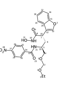 CCOCOC[C@H](C[C@H](C(=O)NO)c1coc2ccccc12)NC(=O)c1ccc([N+](=O)[O-])cc1